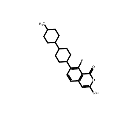 CCCCc1cc2ccc(C3CCC(C4CCC(C)CC4)CC3)c(F)c2c(=O)o1